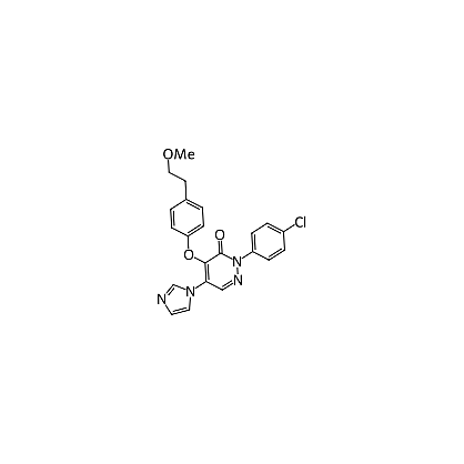 COCCc1ccc(Oc2c(-n3ccnc3)cnn(-c3ccc(Cl)cc3)c2=O)cc1